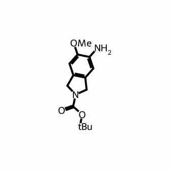 COc1cc2c(cc1N)CN(C(=O)OC(C)(C)C)C2